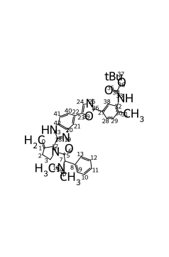 C=C1CCN(C(=O)[C@@H](c2ccccc2)N(C)C)[C@@H]1c1nc2cc(-c3cnc(-c4ccc(C)c(NC(=O)OC(C)(C)C)c4)o3)ccc2[nH]1